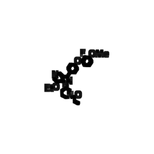 C=CC(=O)N1CCCC(n2nc(-c3ccc(Oc4cccc(OC)c4F)cc3)c3cncc(OCC)c32)C1